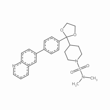 CN(C)S(=O)(=O)N1CCC(C2(c3ccc(-c4ccc5ncccc5c4)cc3)OCCO2)CC1